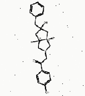 O=C(CN1C[C@@H]2CC(O)(Cc3ccccc3)C[C@@H]2C1)c1ccc(O)cc1